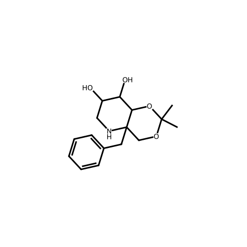 CC1(C)OCC2(Cc3ccccc3)NCC(O)C(O)C2O1